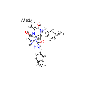 COc1ccc(CNC(=O)N2[C@H]3CN(Cc4cccc(C(F)(F)F)c4)C(=O)[C@H](CCSC)N3C(=O)CN2C)cc1